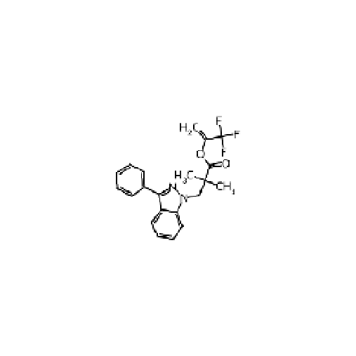 C=C(OC(=O)C(C)(C)Cn1nc(-c2ccccc2)c2ccccc21)C(F)(F)F